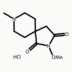 CON1C(=O)CC2(CCN(C)CC2)C1=O.Cl